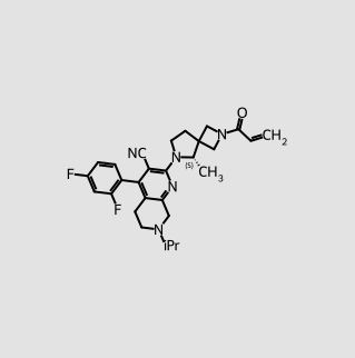 C=CC(=O)N1CC2(CCN(c3nc4c(c(-c5ccc(F)cc5F)c3C#N)CCN(C(C)C)C4)[C@H]2C)C1